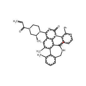 C=CC(=O)N1CCN(c2nc(=O)n(-c3c(C)ccnc3C(C)C)c3c4c(c(C)cc23)-c2c(P)cccc2CNC4=O)[C@@H](C)C1